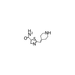 NC(=O)c1cnc(C=C2CCNCC2)s1